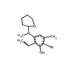 C=Cc1c(N(C)C2CCCCO2)cc(C)c(Br)c1O